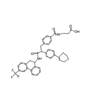 O=C(O)CCNC(=O)c1ccc(CC(C(=O)NC2Cc3ccc(C(F)(F)F)cc3-c3ccccc32)c2ccc(C3=CCCCC3)cc2)cc1